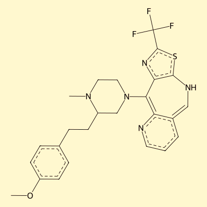 COc1ccc(CCC2CN(C3=c4ncccc4=CNc4sc(C(F)(F)F)nc43)CCN2C)cc1